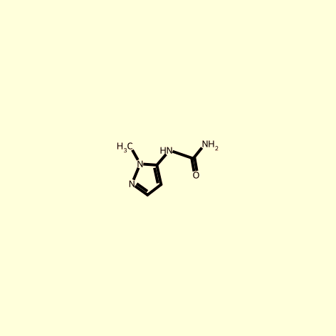 Cn1nccc1NC(N)=O